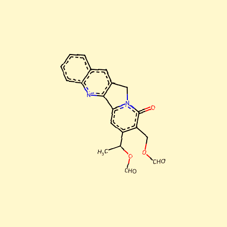 CC(OC=O)c1cc2n(c(=O)c1COC=O)Cc1cc3ccccc3nc1-2